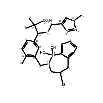 CCC1Cc2ccccc2S(O)(O)N(Cc2cc(C(OCc3cn(C)nn3)C(C)(C)C(=O)O)ccc2C)C1